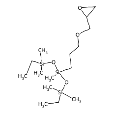 CC[Si](C)(C)O[Si](C)(CCCOCC1CO1)O[Si](C)(C)CC